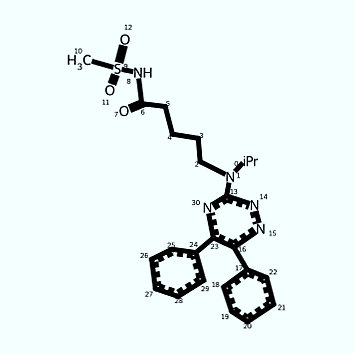 CC(C)N(CCCCC(=O)NS(C)(=O)=O)c1nnc(-c2ccccc2)c(-c2ccccc2)n1